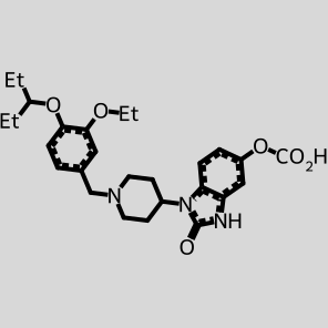 CCOc1cc(CN2CCC(n3c(=O)[nH]c4cc(OC(=O)O)ccc43)CC2)ccc1OC(CC)CC